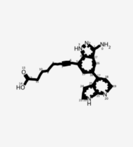 Nc1n[nH]c2c(C#CCCCCC(=O)O)cc(-c3ccnc4[nH]ccc34)cc12